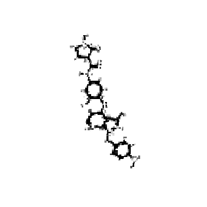 COc1ccc(Cn2nc(C)c3c(Oc4ccc(NC(=O)C5CCN(C)C5=O)cc4F)ccnc32)cc1